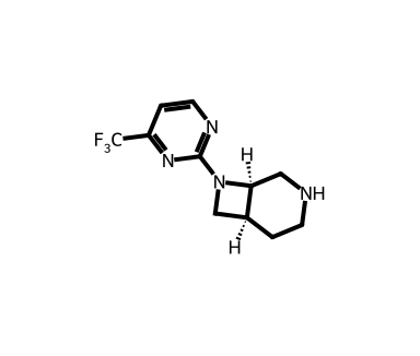 FC(F)(F)c1ccnc(N2C[C@@H]3CCNC[C@@H]32)n1